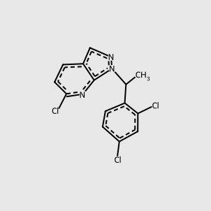 CC(c1ccc(Cl)cc1Cl)n1ncc2ccc(Cl)nc21